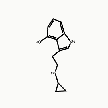 Oc1cccc2[nH]cc(CCNC3CC3)c12